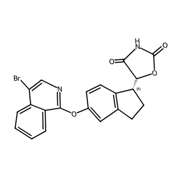 O=C1NC(=O)C([C@@H]2CCc3cc(Oc4ncc(Br)c5ccccc45)ccc32)O1